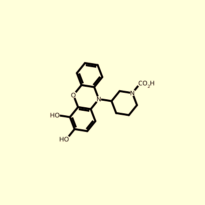 O=C(O)N1CCCC(N2c3ccccc3Oc3c2ccc(O)c3O)C1